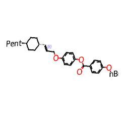 CCCCC[C@H]1CC[C@H](/C=C/COc2ccc(OC(=O)c3ccc(OCCCC)cc3)cc2)CC1